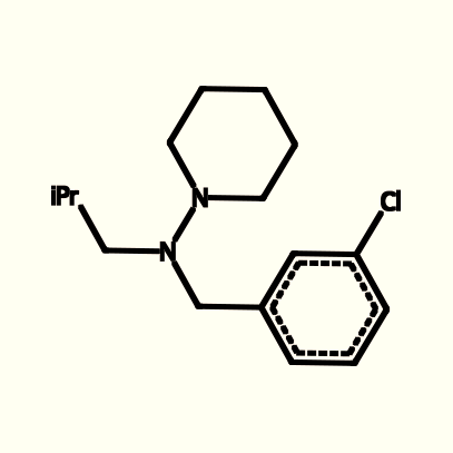 CC(C)CN(Cc1cccc(Cl)c1)N1CCCCC1